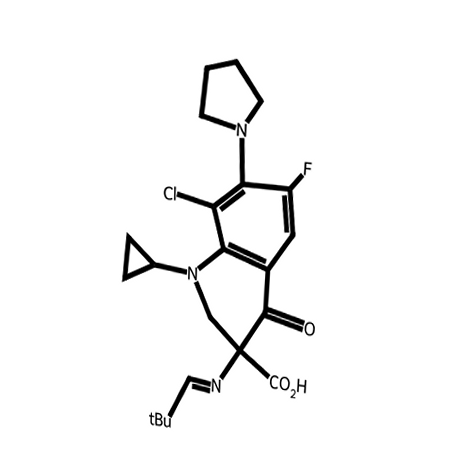 CC(C)(C)C=NC1(C(=O)O)CN(C2CC2)c2c(cc(F)c(N3CCCC3)c2Cl)C1=O